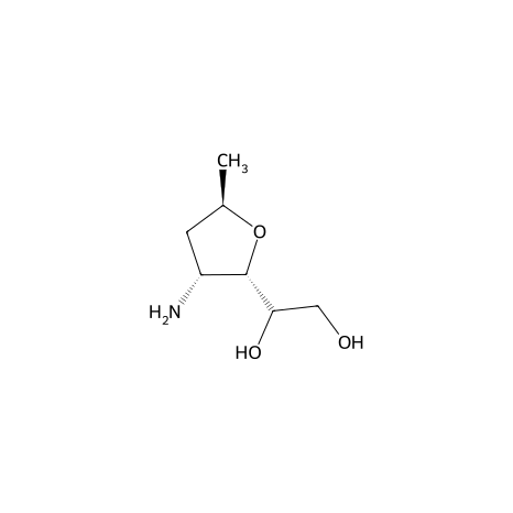 C[C@@H]1C[C@@H](N)[C@@H](C(O)CO)O1